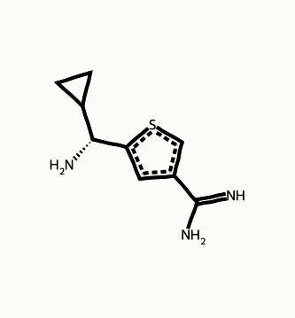 N=C(N)c1csc([C@H](N)C2CC2)c1